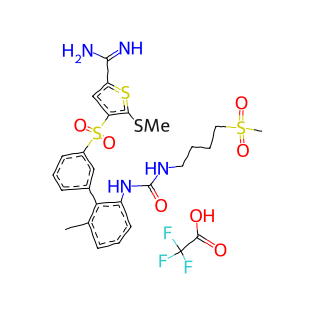 CSc1sc(C(=N)N)cc1S(=O)(=O)c1cccc(-c2c(C)cccc2NC(=O)NCCCCS(C)(=O)=O)c1.O=C(O)C(F)(F)F